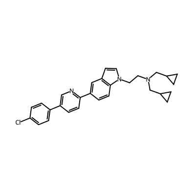 Clc1ccc(-c2ccc(-c3ccc4c(ccn4CCN(CC4CC4)CC4CC4)c3)nc2)cc1